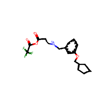 O=C(CCNCc1cccc(OCC2CCCC2)c1)OC(=O)C(F)(F)F